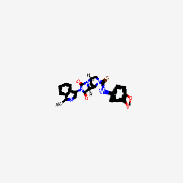 N#Cc1ncc(N2C(=O)[C@@H]3C4C[C@H](CN4C(=S)Nc4ccc5c(c4)OCO5)N3C2=O)c2ccccc12